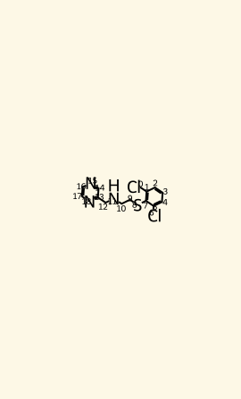 Clc1cccc(Cl)c1SCCNCc1cnccn1